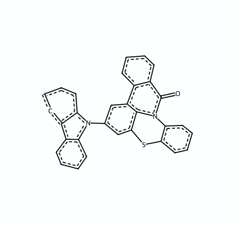 O=c1c2ccccc2c2cc(-n3c4ccccc4c4ccccc43)cc3c2n1-c1ccccc1S3